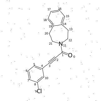 O=C(C#Cc1cccc(Cl)c1)N1CCc2ccccc2CC1